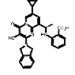 C[C@@H](Nc1ccccc1C(=O)O)c1cc(C2CC2)cn2c(=O)c(C#N)c(N3Cc4ccccc4C3)nc12